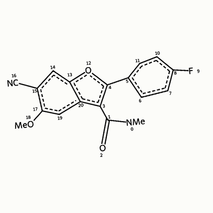 CNC(=O)c1c(-c2ccc(F)cc2)oc2cc(C#N)c(OC)cc12